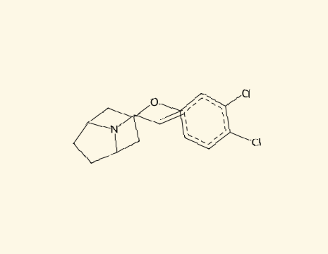 C=CCN1C2CCC1CC(Oc1ccc(Cl)c(Cl)c1)C2